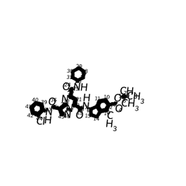 Cc1c(C(=O)OC(C)(C)C)ccc2c1CC[C@@H]2NC(=O)c1cc(C(=O)NC2CCCCC2)nc2c(C(=O)Nc3ccccc3Cl)cnn12